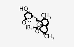 CCC(C)C(=O)OC12CC[C@@H](C)CC1=CC[C@H](C)C2CC[C@H]1C[C@H](O)CC(=O)O1